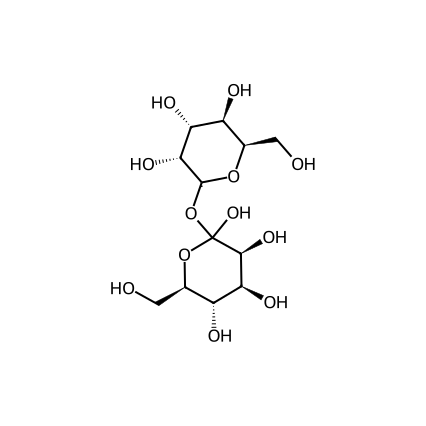 OC[C@H]1O[C](OC2(O)O[C@H](CO)[C@@H](O)[C@H](O)[C@@H]2O)[C@H](O)[C@H](O)[C@H]1O